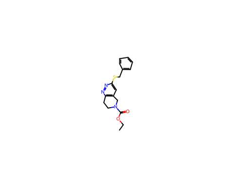 CCOC(=O)N1CCc2nnc(SCc3ccccc3)cc2C1